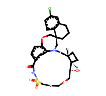 O=C1NS(=O)(=O)CCCOC[C@@H](O)[C@@H]2CC[C@H]2CN2C[C@@]3(CCCc4cc(Cl)ccc43)COc3ccc1cc32